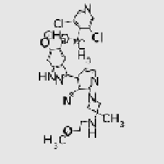 COCCNC1(C)CN(c2nccc(-c3n[nH]c4cc(OC)c(O[C@H](C)c5c(Cl)cncc5Cl)cc34)c2C#N)C1